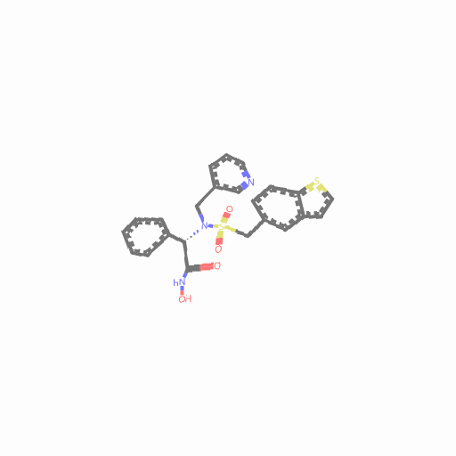 O=C(NO)[C@H](c1ccccc1)N(Cc1cccnc1)S(=O)(=O)Cc1ccc2sccc2c1